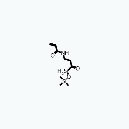 C=CC(=O)NCCC(=O)[SiH2]O[Si](C)(C)C